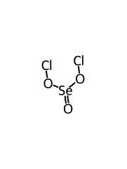 O=[Se](OCl)OCl